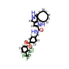 O=C(NCc1ccc(S(=O)(=O)c2cccc(C(F)(F)F)c2Cl)cc1)c1cc2c([nH]1)C1(CCCCCCCCC1)CNC2